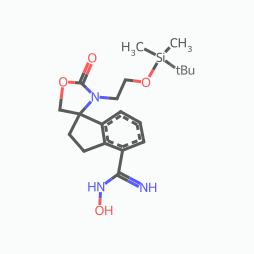 CC(C)(C)[Si](C)(C)OCCN1C(=O)OCC12CCc1c(C(=N)NO)cccc12